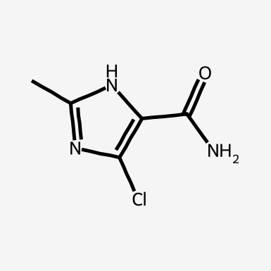 Cc1nc(Cl)c(C(N)=O)[nH]1